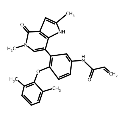 C=CC(=O)Nc1ccc(Oc2c(C)cccc2C)c(-c2cn(C)c(=O)c3cc(C)[nH]c23)c1